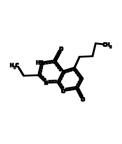 CCCCc1cc(=O)oc2nc(CC)[nH]c(=O)c12